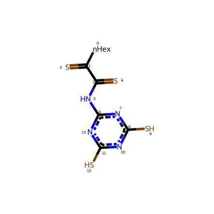 CCCCCCC(=S)C(=S)Nc1nc(S)nc(S)n1